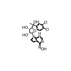 C[C@@](O)(c1ccc(Cl)c(Cl)c1)[C@H]1O[C@@H](n2ccc3/c(=N/O)nc[nH]c32)[C@H](O)[C@@H]1O